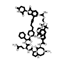 CN1CC[C@H]2CC[C@@H](C(=O)N[C@@H](CCC(N)=O)C(=O)N[C@H](C(=O)N3CCC(CCC#Cc4cccc5c4CN(C4CCC(=O)NC4=O)C5=O)CC3)C3CCCCC3)N2C(=O)[C@@H](NC(=O)c2cc3cc(C(F)(F)P(=O)(OCOC(=O)C(C)(C)C)OCOC(=O)C(C)(C)C)ccc3[nH]2)C1